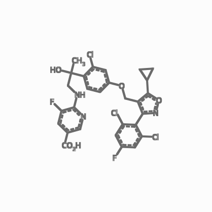 CC(O)(CNc1ncc(C(=O)O)cc1F)c1ccc(OCc2c(-c3c(Cl)cc(F)cc3Cl)noc2C2CC2)cc1Cl